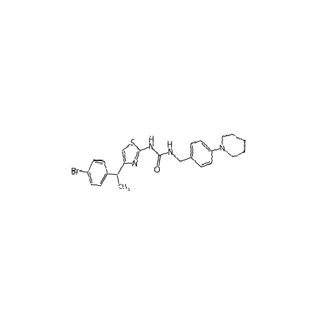 CC(c1ccc(Br)cc1)c1csc(NC(=O)NCc2ccc(N3CCCCC3)cc2)n1